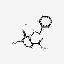 COC(=O)c1ccc(C(=O)[O-])c(=O)n1OCc1ccccc1.[Li+]